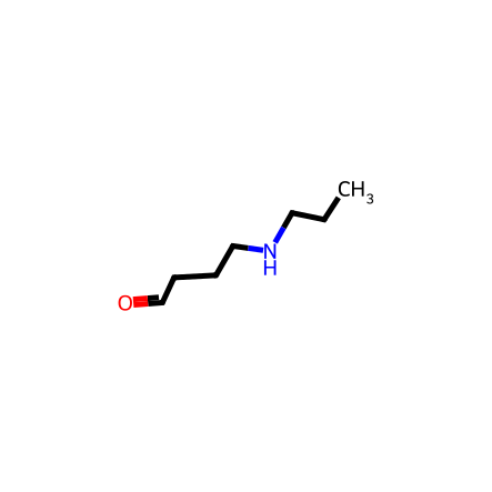 CCCNCCCC=O